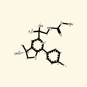 CC(C)(C)OC(=O)NCC(O)(c1cc2c(c(-c3ccc(F)cc3)n1)OC[C@]2(C)C=O)C(F)(F)F